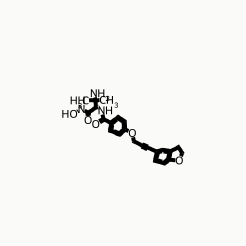 CC(C)(N)[C@H](NC(=O)c1ccc(OCC#Cc2ccc3c(c2)CCO3)cc1)C(=O)NO